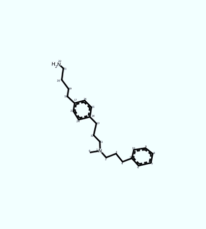 CN(CCCc1ccccc1)CCCc1ccc(CCCCN)cc1